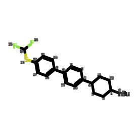 CCCCC1CCC(c2ccc(-c3ccc(SC(F)F)cc3)cc2)CC1